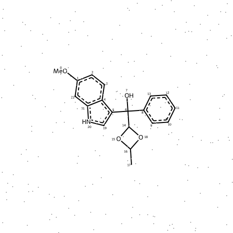 COc1ccc2c(C(O)(c3ccccc3)C3OC(C)O3)c[nH]c2c1